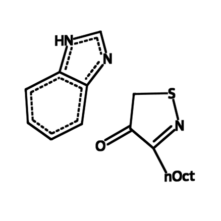 CCCCCCCCC1=NSCC1=O.c1ccc2[nH]cnc2c1